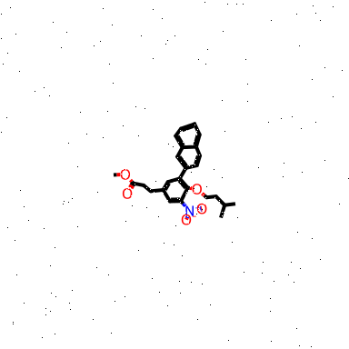 COC(=O)CCc1cc(-c2ccc3ccccc3c2)c(OCCC(C)C)c([N+](=O)[O-])c1